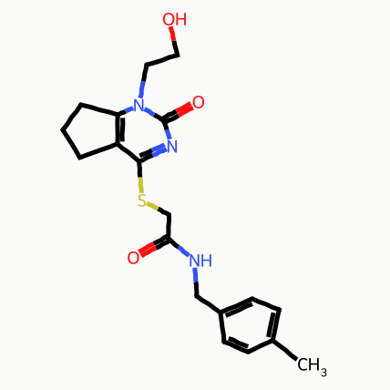 Cc1ccc(CNC(=O)CSc2nc(=O)n(CCO)c3c2CCC3)cc1